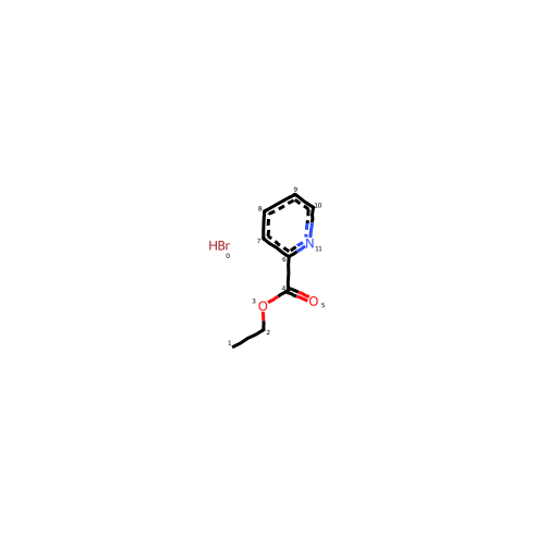 Br.CCOC(=O)c1ccccn1